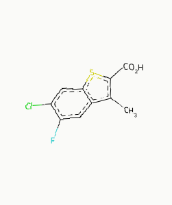 Cc1c(C(=O)O)sc2cc(Cl)c(F)cc12